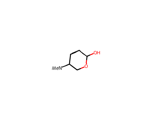 CNC1CCC(O)OC1